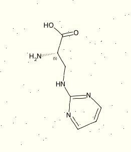 N[C@@H](CNc1ncccn1)C(=O)O